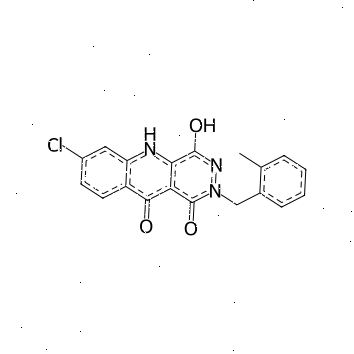 Cc1ccccc1Cn1nc(O)c2[nH]c3cc(Cl)ccc3c(=O)c2c1=O